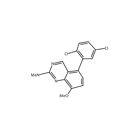 CNc1ncc2c(-c3cc(Cl)ccc3Cl)ccc(OC)c2n1